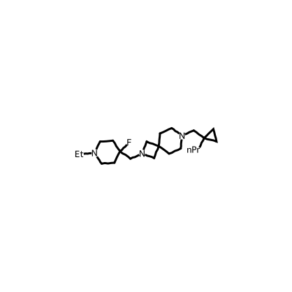 CCCC1(CN2CCC3(CC2)CN(CC2(F)CCN(CC)CC2)C3)CC1